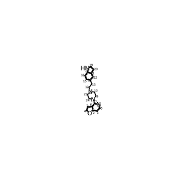 c1cc2occc2c(N2CCN(CCc3ccc4[nH]ccc4c3)CC2)n1